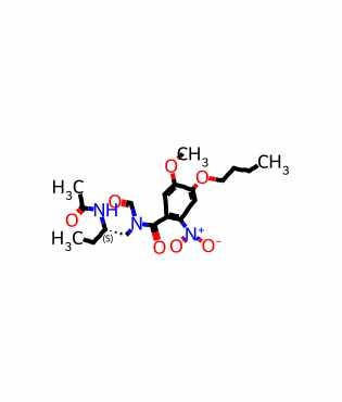 CCCCOc1cc([N+](=O)[O-])c(C(=O)N(C=O)C[C@H](CC)NC(C)=O)cc1OC